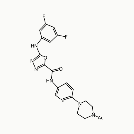 CC(=O)N1CCN(c2ccc(NC(=O)c3nnc(Nc4cc(F)cc(F)c4)o3)cn2)CC1